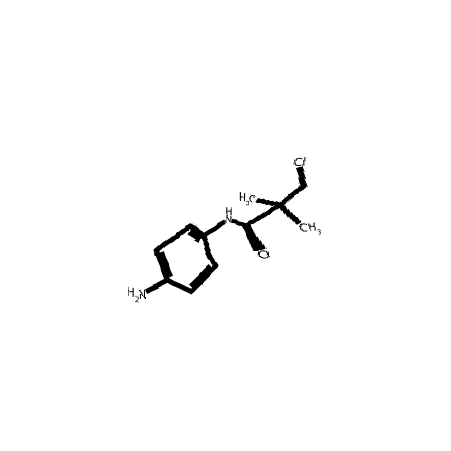 CC(C)(CCl)C(=O)Nc1ccc(N)cc1